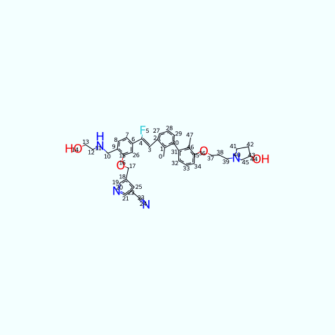 Cc1c(/C=C(\F)c2ccc(CNCCO)c(OCc3cncc(C#N)c3)c2)cccc1-c1cccc(OCCCN2CC[C@@H](O)C2)c1C